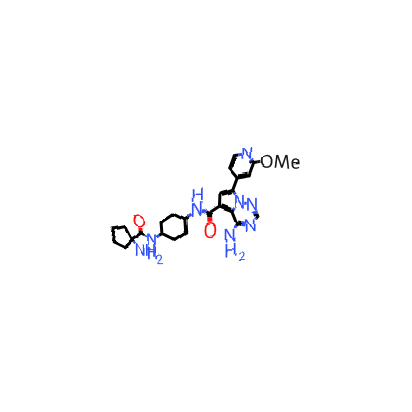 COc1cc(-c2cc(C(=O)NC3CCC(NC(=O)C4(N)CCCC4)CC3)c3c(N)ncnn23)ccn1